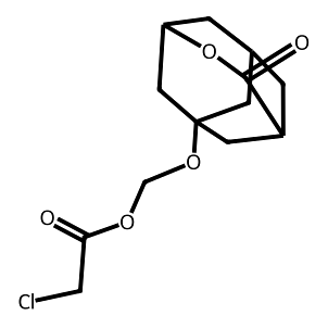 O=C(CCl)OCOC12CC3CC(C1)OC(=O)C(C3)C2